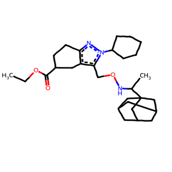 CCOC(=O)C1CCc2nn(C3CCCCC3)c(CONC(C)C34CC5CC(CC(C5)C3)C4)c2C1